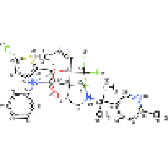 C/C=C\C(OC(=O)Nc1ccccc1)(C(F)(F)F)C1(CCc2ccc(F)s2)CCN(C(C)(C)c2ccc(C)nc2)C1